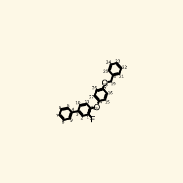 Fc1cc(-c2[c]cccc2)ccc1Oc1ccc(OCc2ccccc2)cc1